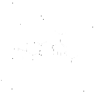 CC(C)N/C=C(\C(=N)CN1CCC(F)(F)CC1)C(C)C